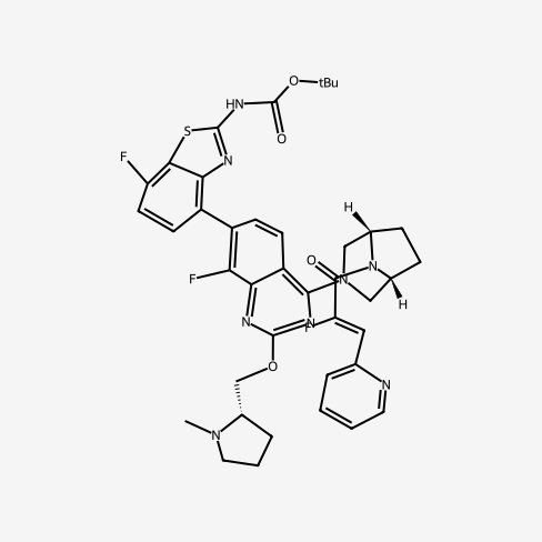 CN1CCC[C@H]1COc1nc(N2C[C@H]3CC[C@@H](C2)N3C(=O)/C(F)=C/c2ccccn2)c2ccc(-c3ccc(F)c4sc(NC(=O)OC(C)(C)C)nc34)c(F)c2n1